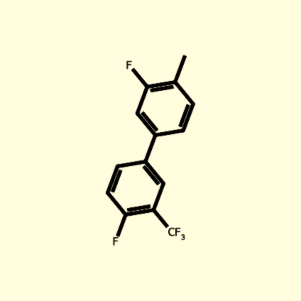 Cc1ccc(-c2ccc(F)c(C(F)(F)F)c2)cc1F